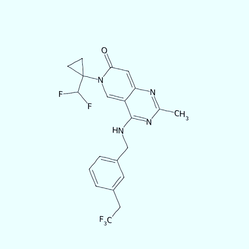 Cc1nc(NCc2cccc(CC(F)(F)F)c2)c2cn(C3(C(F)F)CC3)c(=O)cc2n1